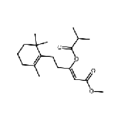 COC(=O)C=C(CCC1=C(C)CCCC1(C)C)OC(=O)C(C)C